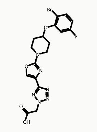 O=C(O)Cn1nnc(-c2coc(N3CCC(Oc4cc(F)ccc4Br)CC3)n2)n1